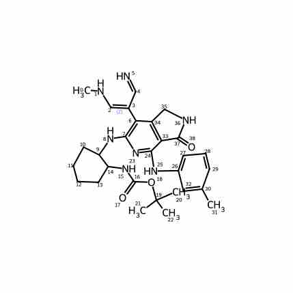 CN/C=C(\C=N)c1c(NC2CCCCC2NC(=O)OC(C)(C)C)nc(Nc2cccc(C)c2)c2c1CNC2=O